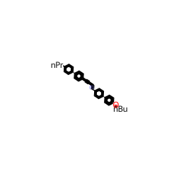 CCCCOc1ccc([C@H]2CC[C@H](/C=C/C#Cc3ccc([C@H]4CC[C@H](CCC)CC4)cc3)CC2)cc1